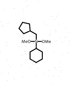 CO[Si](CC1CCCC1)(OC)C1CCCCC1